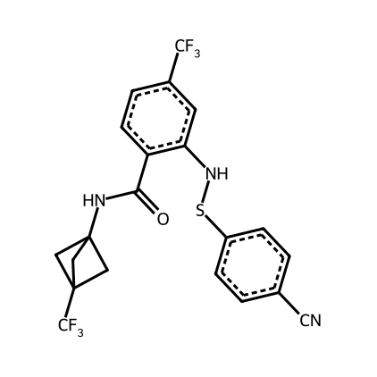 N#Cc1ccc(SNc2cc(C(F)(F)F)ccc2C(=O)NC23CC(C(F)(F)F)(C2)C3)cc1